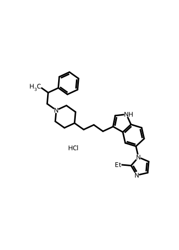 CCc1nccn1-c1ccc2[nH]cc(CCCC3CCN(CC(C)c4ccccc4)CC3)c2c1.Cl